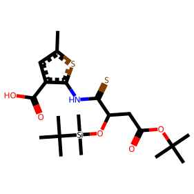 Cc1cc(C(=O)O)c(NC(=S)C(CC(=O)OC(C)(C)C)O[Si](C)(C)C(C)(C)C)s1